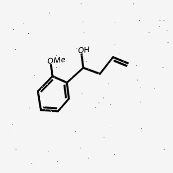 C=CCC(O)c1ccccc1OC